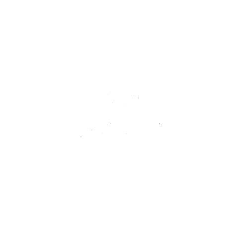 CCCCCCN(CC)C(=S)N1CC(=O)N(C)C(C2=CCNC2)C1=O